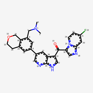 CN(C)Cc1cc(-c2cnc3[nH]cc(C(=O)c4cnc5cc(F)ccn45)c3c2)cc2c1COCC2